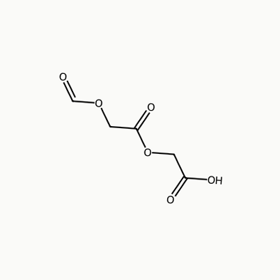 O=COCC(=O)OCC(=O)O